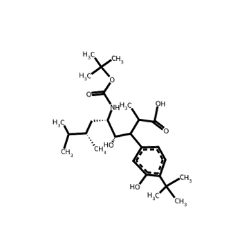 CC(C(=O)O)C(c1ccc(C(C)(C)C)c(O)c1)[C@H](O)[C@H](C[C@H](C)C(C)C)NC(=O)OC(C)(C)C